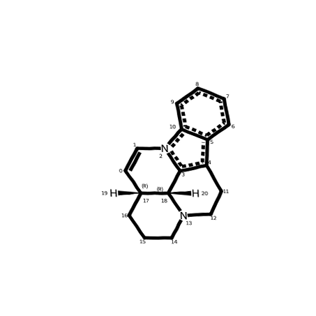 [C]1=Cn2c3c(c4ccccc42)CCN2CCC[C@H]1[C@H]32